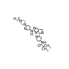 C=C(C)C(=O)Nc1ccnc(-c2nccc3cnc(Nc4ccc(N5CCN(C)CC5)nc4)nc23)c1